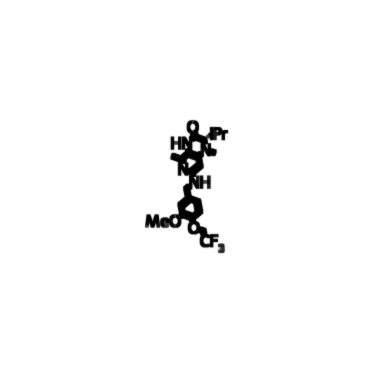 COc1cc(CNc2cc3c(c(C)n2)NC(=O)[C@H](C(C)C)N3C)ccc1OCC(F)(F)F